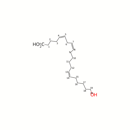 O=C(O)CCC/C=C\C/C=C\CCCC/C=C\CCCCCO